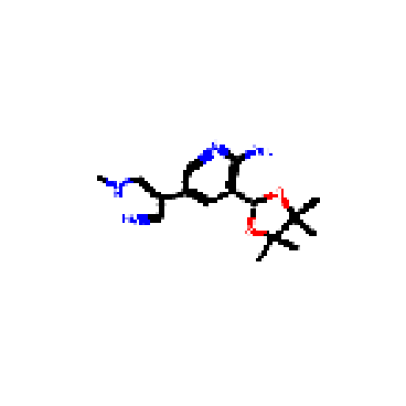 CN/C=C(\C=N)c1cnc(N)c(B2OC(C)(C)C(C)(C)O2)c1